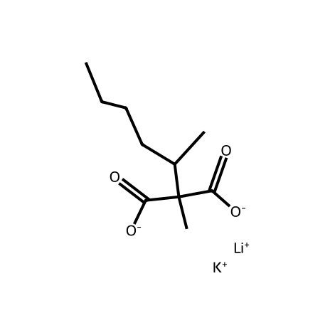 CCCCC(C)C(C)(C(=O)[O-])C(=O)[O-].[K+].[Li+]